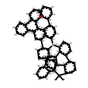 CC1(C)c2cccc(-c3cccc(N(c4ccc(-c5ccccc5)cc4)c4ccccc4-c4ccc5c6ccccc6c6ccccc6c5c4)c3-c3ccccc3)c2-c2ccc3ccccc3c21